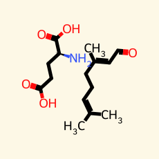 CC(C)=CCCC(C)=CC=O.N[C@@H](CCC(=O)O)C(=O)O